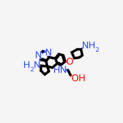 Nc1ncnc2c1C1(CCCC1)Cc1c-2ccc(O[C@H]2CC[C@H](N)CC2)c1NCCO